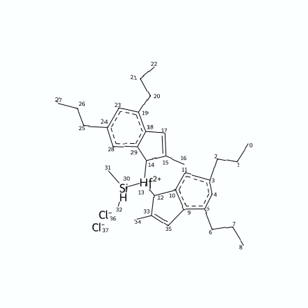 CCCc1cc(CCC)c2c(c1)[CH]([Hf+2]([CH]1C(C)=Cc3c(CCC)cc(CCC)cc31)[SiH](C)C)C(C)=C2.[Cl-].[Cl-]